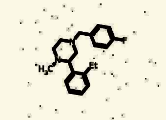 CCc1ccccc1C1CN(Cc2ccc(F)cc2)CCN1C